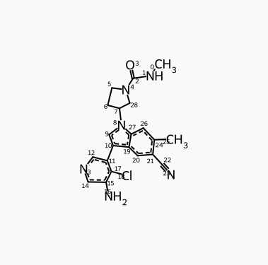 CNC(=O)N1CCC(n2cc(-c3cncc(N)c3Cl)c3cc(C#N)c(C)cc32)C1